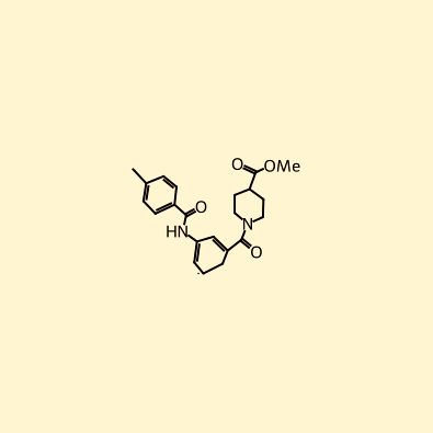 COC(=O)C1CCN(C(=O)C2=CC(NC(=O)c3ccc(C)cc3)=C[CH]C2)CC1